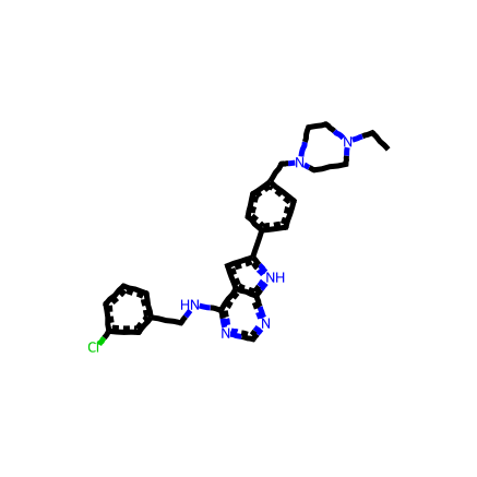 CCN1CCN(Cc2ccc(-c3cc4c(NCc5cccc(Cl)c5)ncnc4[nH]3)cc2)CC1